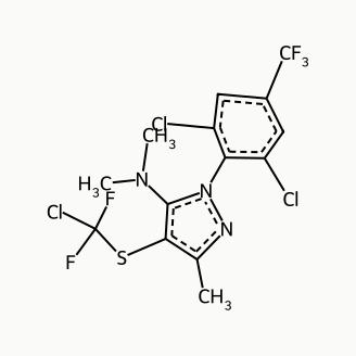 Cc1nn(-c2c(Cl)cc(C(F)(F)F)cc2Cl)c(N(C)C)c1SC(F)(F)Cl